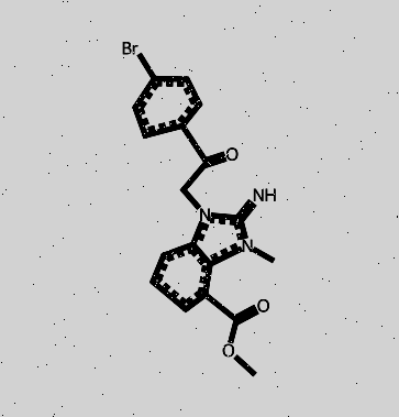 COC(=O)c1cccc2c1n(C)c(=N)n2CC(=O)c1ccc(Br)cc1